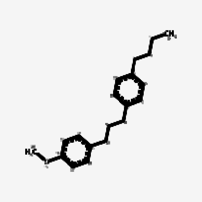 CCCCc1ccc(CCCc2ccc(OC)cc2)cc1